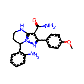 COc1ccc(-c2nn3c(c2C(N)=O)NCCC3c2ccccc2N)cc1